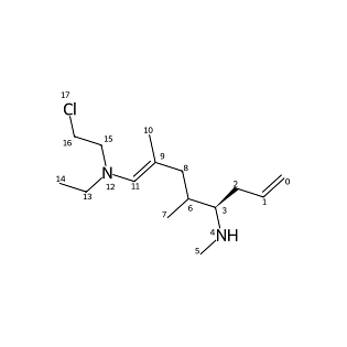 C=CC[C@@H](NC)C(C)CC(C)=CN(CC)CCCl